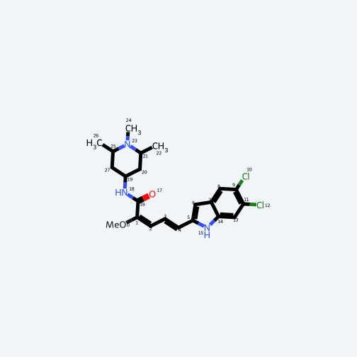 COC(=CC=Cc1cc2cc(Cl)c(Cl)cc2[nH]1)C(=O)NC1CC(C)N(C)C(C)C1